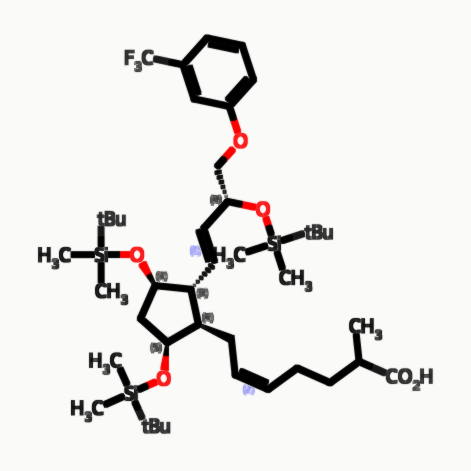 CC(CC/C=C\C[C@@H]1[C@@H](/C=C/[C@H](COc2cccc(C(F)(F)F)c2)O[Si](C)(C)C(C)(C)C)[C@H](O[Si](C)(C)C(C)(C)C)C[C@@H]1O[Si](C)(C)C(C)(C)C)C(=O)O